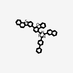 c1ccc(-c2ccc(-c3nc(-c4ccc5ccccc5c4)nc(-c4ccc(-c5ccc6sc7c8ccccc8ccc7c6c5)c5oc6ccccc6c45)n3)cc2)cc1